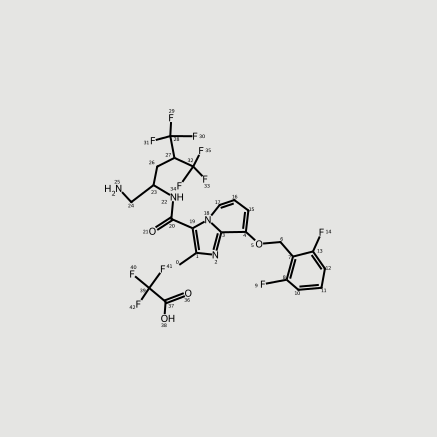 Cc1nc2c(OCc3c(F)cccc3F)cccn2c1C(=O)NC(CN)CC(C(F)(F)F)C(F)(F)F.O=C(O)C(F)(F)F